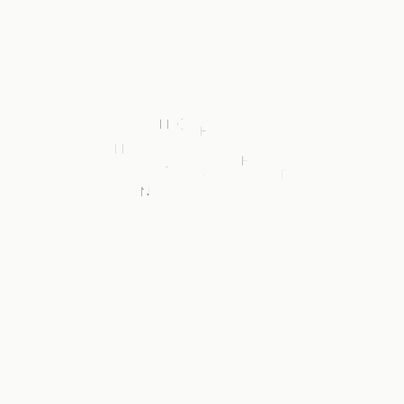 CC1(C)N=Cc2cccc(F)c2C1(F)F